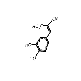 N#C/C(=C/c1ccc(O)c(O)c1)C(=O)O